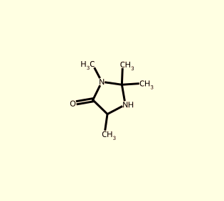 CC1NC(C)(C)N(C)C1=O